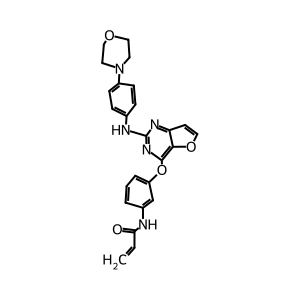 C=CC(=O)Nc1cccc(Oc2nc(Nc3ccc(N4CCOCC4)cc3)nc3ccoc23)c1